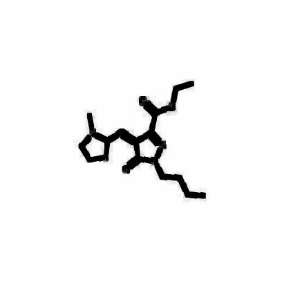 CCCCN1N=C(C(=O)OCC)C(=CC2SCCN2C)C1=O